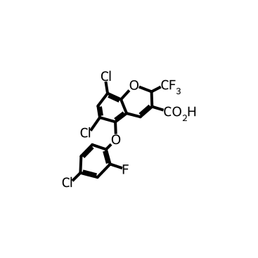 O=C(O)C1=Cc2c(Oc3ccc(Cl)cc3F)c(Cl)cc(Cl)c2OC1C(F)(F)F